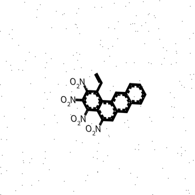 C=Cc1c([N+](=O)[O-])c([N+](=O)[O-])c([N+](=O)[O-])c2c([N+](=O)[O-])cc3cc4ccccc4cc3c12